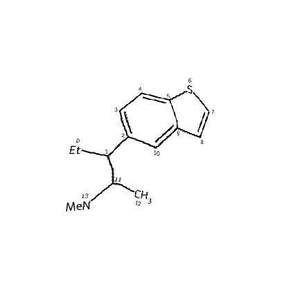 CCC(c1ccc2sccc2c1)C(C)NC